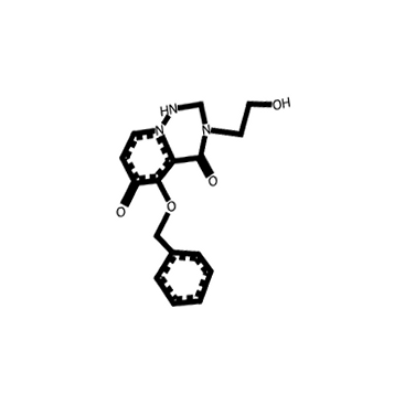 O=C1c2c(OCc3ccccc3)c(=O)ccn2NCN1CCO